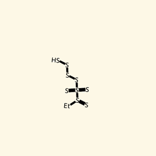 CCS(=S)S(=S)(=S)SSSS